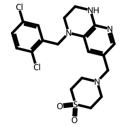 O=S1(=O)CCN(Cc2cnc3c(c2)N(Cc2cc(Cl)ccc2Cl)CCN3)CC1